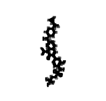 CC(C)n1c(=O)c(-c2ccc(NS(=O)(=O)CCC(F)(F)F)c(F)c2)cc2cnc(N[C@H]3CC[C@H](N(C)C4CC4)CC3)nc21